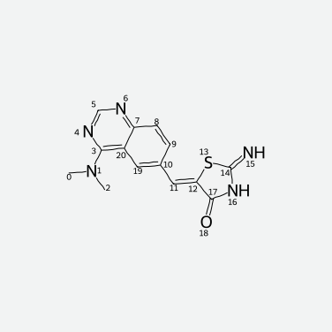 CN(C)c1ncnc2ccc(/C=C3\SC(=N)NC3=O)cc12